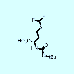 CC(C)(C)OC(=O)N[C@@H](CCSC(F)F)C(=O)O